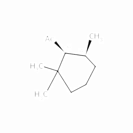 CC(=O)[C@H]1[C@@H](C)CCCC1(C)C